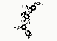 COc1ccc(CNc2cc(Cl)c(C(=O)Nc3cc(C)cc(N4CCC(F)(F)CC4)n3)c3ncnn23)c(OC)c1